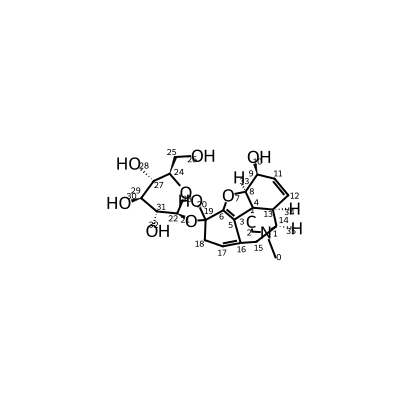 CN1CC[C@]23C4=C5O[C@H]2[C@@H](O)C=C[C@H]3[C@H]1CC4=CCC5(O)O[C@@H]1O[C@H](CO)[C@@H](O)[C@H](O)[C@H]1O